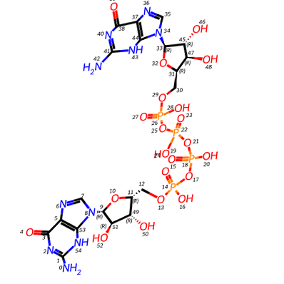 Nc1nc(=O)c2ncn([C@@H]3O[C@H](COP(=O)(O)OP(=O)(O)OP(=O)(O)OP(=O)(O)OC[C@H]4O[C@@H](n5cnc6c(=O)nc(N)[nH]c65)[C@H](O)[C@H]4O)[C@H](O)[C@H]3O)c2[nH]1